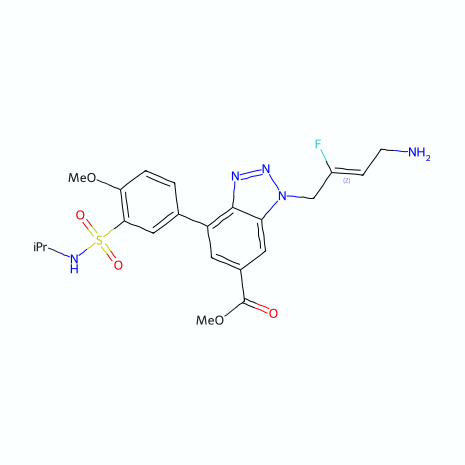 COC(=O)c1cc(-c2ccc(OC)c(S(=O)(=O)NC(C)C)c2)c2nnn(C/C(F)=C/CN)c2c1